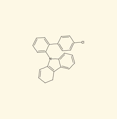 Clc1ccc(-c2ccccc2-n2c3c(c4ccccc42)CCC=C3)cc1